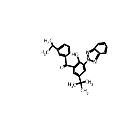 CC(C)c1cccc(C(=O)c2cc(C(C)(C)C)cc(-n3nc4ccccc4n3)c2O)c1